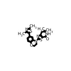 Cc1nc(C)c(-c2ccc3c(c2)N(c2nc4c(s2)C(=O)NC(C)(C)C4)CCO3)s1